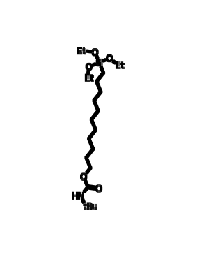 CCO[Si](CCCCCCCCCCCOC(=O)NC(C)(C)C)(OCC)OCC